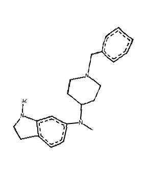 CC(=O)N1CCc2ccc(N(C)C3CCN(Cc4ccccc4)CC3)cc21